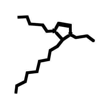 CCCCCCCCCC1N(CCC)C=CN1CCCCC